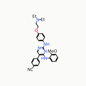 CCN(CC)CCOc1ccc(Nc2ncc(-c3ccc(C#N)cc3)c(Nc3ccccc3OC)n2)cc1